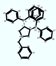 c1ccc(CN2C[C@H](P(c3ccccc3)c3ccccc3)[C@@H](P(c3ccccc3)c3ccccc3)C2)cc1